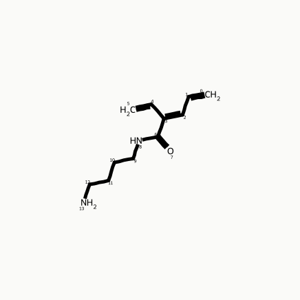 C=C/C=C(\C=C)C(=O)NCCCCN